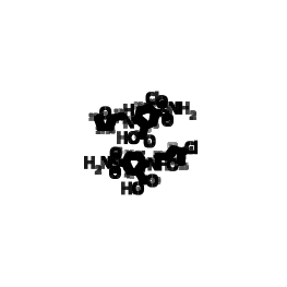 NS(=O)(=O)c1cc(C(=O)O)c(NCc2ccco2)cc1Cl.NS(=O)(=O)c1ccc(NCc2cc(Cl)co2)c(C(=O)O)c1